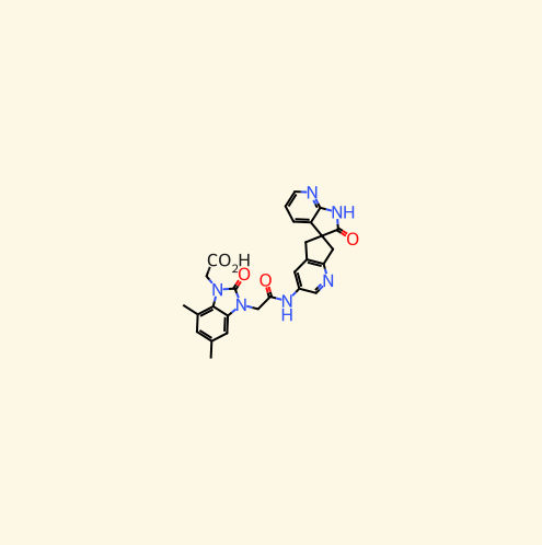 Cc1cc(C)c2c(c1)n(CC(=O)Nc1cnc3c(c1)CC1(C3)C(=O)Nc3ncccc31)c(=O)n2CC(=O)O